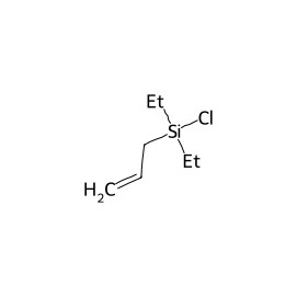 C=CC[Si](Cl)(CC)CC